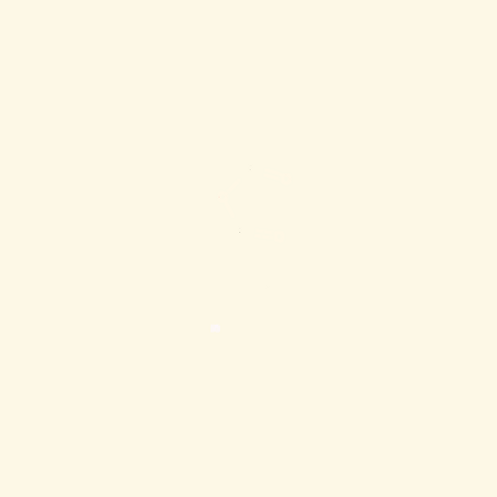 C/C=C\C(CC(=O)OC(C)=O)C(CC)CC